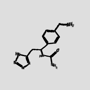 NCc1ccc(C(Cc2nnn[nH]2)NC(N)=O)cc1